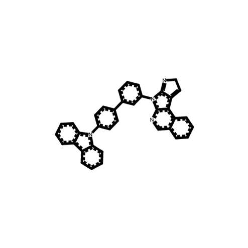 C1=c2c(n(-c3cccc(-c4ccc(-n5c6ccccc6c6ccccc65)cc4)c3)c3ncc4ccccc4c23)=NC1